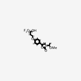 COC(C)n1nc(-c2ccc(OCC[C@@H](O)C(F)(F)F)cc2)oc1=O